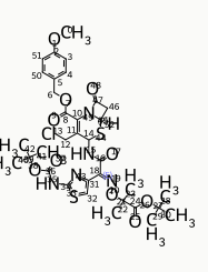 COc1ccc(COC(=O)C2=C(CCl)C(NC(=O)/C(=N/OC(C)(C)C(=O)OC(C)(C)C)c3csc(NC(=O)OC(C)(C)C)n3)S[C@@H]3CC(=O)N23)cc1